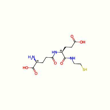 N[C@@H](CCC(=O)N[C@@H](CCC(=O)O)C(=O)NCCS)C(=O)O